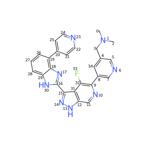 CN(C)Cc1cncc(-c2ncc3[nH]nc(-c4nc5c(-c6ccncc6)cccc5[nH]4)c3c2F)c1